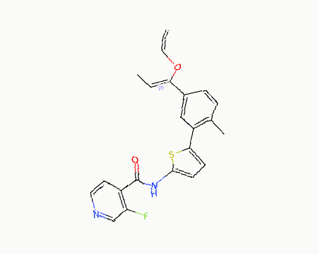 C=CO/C(=C\C)c1ccc(C)c(-c2ccc(NC(=O)c3ccncc3F)s2)c1